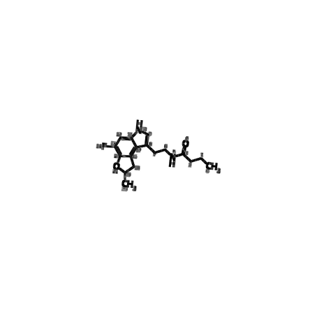 CCCC(=O)NCCc1c[nH]c2cc(F)c3c(c12)CC(C)O3